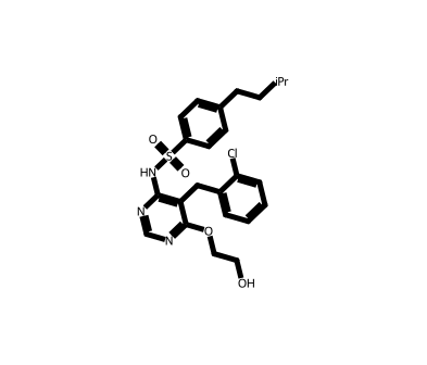 CC(C)CCc1ccc(S(=O)(=O)Nc2ncnc(OCCO)c2Cc2ccccc2Cl)cc1